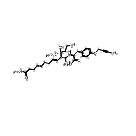 CC#CCOc1ccc(C[C@H](NC(O)[C@@H](/C=C/CCCCCCC(=O)CCCCCCC)[C@@](O)(CCO)C(=O)O)C(=O)OC)cc1